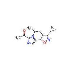 CC(=O)c1ncc2n1C(C)Cc1c(C3CC3)noc1-2